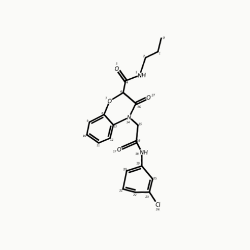 CCCNC(=O)C1Oc2ccccc2N(CC(=O)Nc2cccc(Cl)c2)C1=O